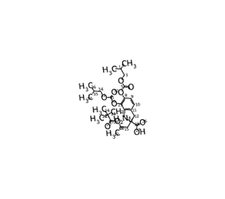 CC(C)COC(=O)Oc1ccc(CC(N)(C[C@H](C)OC(=O)C(C)(C)C)C(=O)O)cc1OC(=O)OCC(C)C